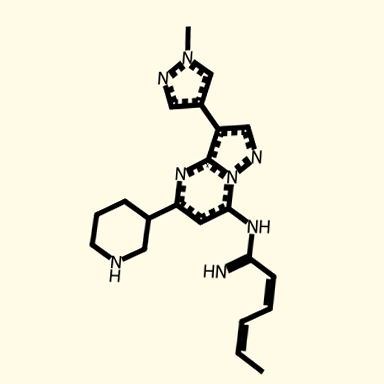 C/C=C\C=C/C(=N)Nc1cc(C2CCCNC2)nc2c(-c3cnn(C)c3)cnn12